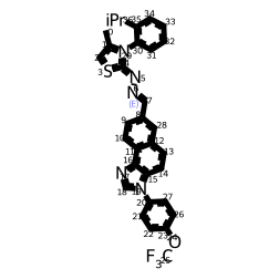 Cc1csc(=N/N=C/c2ccc3c(ccc4c3ncn4-c3ccc(OC(F)(F)F)cc3)c2)n1-c1ccccc1C(C)C